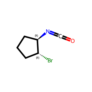 O=C=N[C@@H]1CCC[C@H]1Br